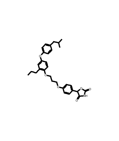 CCCc1cc(Oc2ccc(CC(C)C)cc2)ccc1OCCCOc1ccc(C2OC(=O)NC2=O)cc1